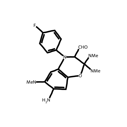 CNc1cc2c(cc1N)OC(NC)(NC)C(C=O)N2c1ccc(F)cc1